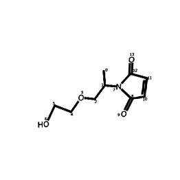 CC(COCCO)N1C(=O)C=CC1=O